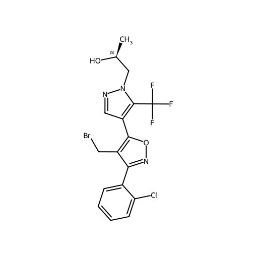 C[C@H](O)Cn1ncc(-c2onc(-c3ccccc3Cl)c2CBr)c1C(F)(F)F